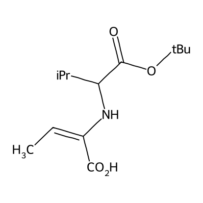 CC=C(NC(C(=O)OC(C)(C)C)C(C)C)C(=O)O